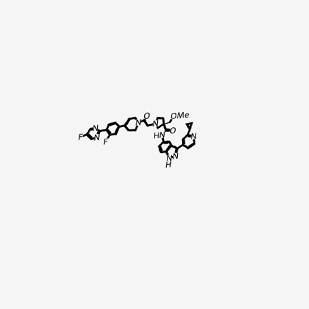 COC[C@]1(C(=O)Nc2ccc3[nH]nc(-c4ccnc(C5CC5)c4)c3c2)CCN(CC(=O)N2CC=C(c3ccc(-c4ncc(F)cn4)c(F)c3)CC2)C1